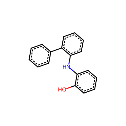 Oc1ccccc1Nc1ccccc1-c1ccccc1